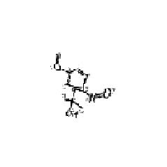 COc1ccc(N=O)c(C(C)(C)O)c1